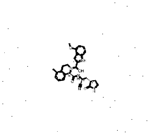 COc1cccc2[nH]c(C(O)N3CCc4c(C)cccc4[C@@H]3C(=O)N[C@H](C#N)C[C@@H]3CCNC3=O)cc12